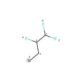 FC(F)C(F)C[Si]